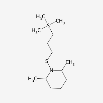 CC1CCCC(C)N1SCCCS(C)(C)C